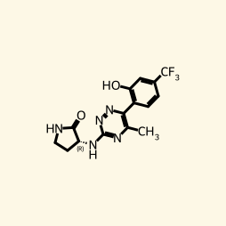 Cc1nc(N[C@@H]2CCNC2=O)nnc1-c1ccc(C(F)(F)F)cc1O